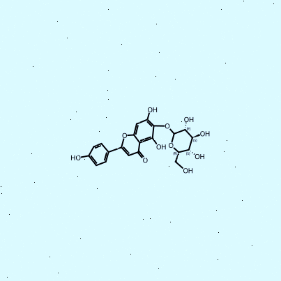 O=c1cc(-c2ccc(O)cc2)oc2cc(O)c(OC3O[C@H](CO)[C@@H](O)[C@H](O)[C@H]3O)c(O)c12